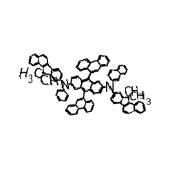 CC1(C)c2cc(N(c3ccccc3)c3ccc4c(-c5cc6ccccc6c6ccccc56)c5cc(N(c6ccc7c(c6)C(C)(C)c6c-7ccc7ccccc67)c6ccc7ccccc7c6)ccc5c(-c5cc6ccccc6c6ccccc56)c4c3)ccc2-c2ccc3ccccc3c21